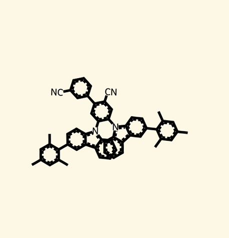 Cc1cc(C)c(-c2ccc3c(c2)c2ccccc2n3-c2cc(C#N)c(-c3cccc(C#N)c3)cc2-n2c3ccccc3c3cc(-c4c(C)cc(C)cc4C)ccc32)c(C)c1